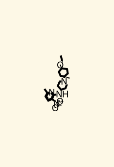 CCO[C@H]1CC[C@](C)(N2CCC(Nc3nc(C)ccc3[N+](=O)[O-])CC2)CC1